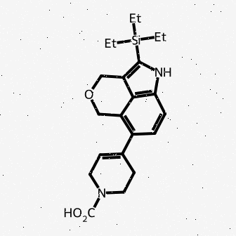 CC[Si](CC)(CC)c1[nH]c2ccc(C3=CCN(C(=O)O)CC3)c3c2c1COC3